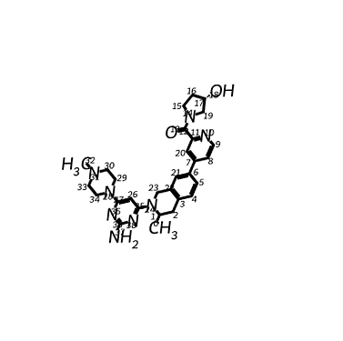 CC1Cc2ccc(-c3ccnc(C(=O)N4CC[C@H](O)C4)c3)cc2CN1c1cc(N2CCN(C)CC2)nc(N)n1